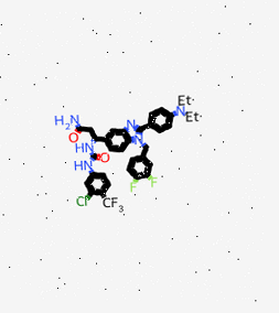 [CH2][CH]N([CH][CH2])c1ccc(-c2nc3cc(C(CC(N)=O)NC(=O)Nc4ccc(C(F)(F)F)c(Cl)c4)ccc3n2Cc2ccc(F)c(F)c2)cc1